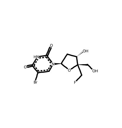 O=c1[nH]c(=O)n([C@H]2C[C@H](O)[C@](CO)(CF)O2)cc1Br